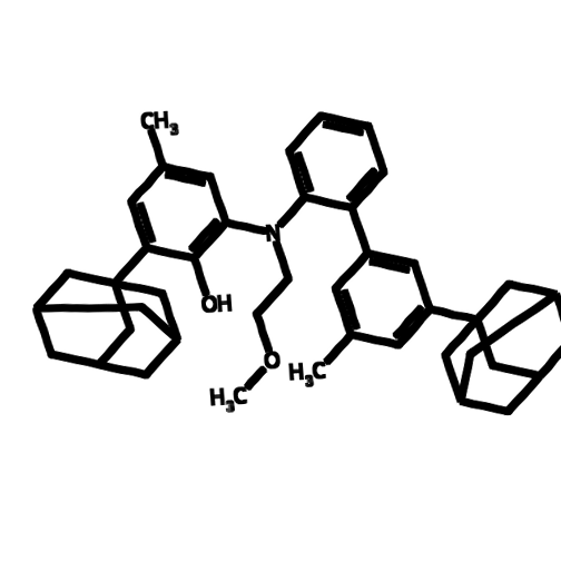 COCCN(c1ccccc1-c1cc(C)cc(C23CC4CC(CC(C4)C2)C3)c1)c1cc(C)cc(C23CC4CC(CC(C4)C2)C3)c1O